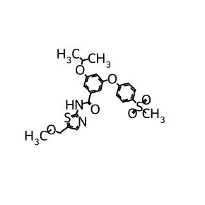 COCc1cnc(NC(=O)c2cc(Oc3ccc(S(C)(=O)=O)cc3)cc(OC(C)C)c2)s1